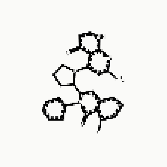 Nc1nc(N2CCCC2c2cc3cccc(Cl)c3c(=O)n2-c2ccccc2)c2c(=O)cc[nH]c2n1